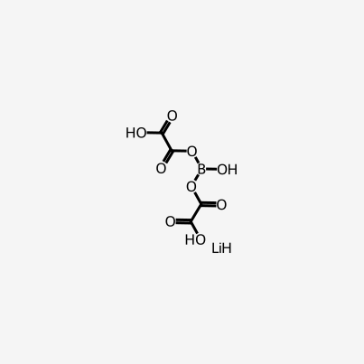 O=C(O)C(=O)OB(O)OC(=O)C(=O)O.[LiH]